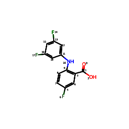 O=C(O)c1cc(F)ccc1Nc1cc(F)cc(F)c1